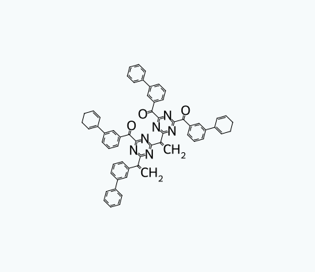 C=C(c1cccc(-c2ccccc2)c1)c1nc(C(=C)c2nc(C(=O)c3cccc(C4=CCCC=C4)c3)nc(C(=O)c3cccc(-c4ccccc4)c3)n2)nc(C(=O)c2cccc(C3=CCCC=C3)c2)n1